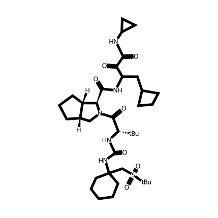 CC(C)(C)[C@H](NC(=O)NC1(CS(=O)(=O)C(C)(C)C)CCCCC1)C(=O)N1C[C@@H]2CCC[C@@H]2[C@H]1C(=O)NC(CC1CCC1)C(=O)C(=O)NC1CC1